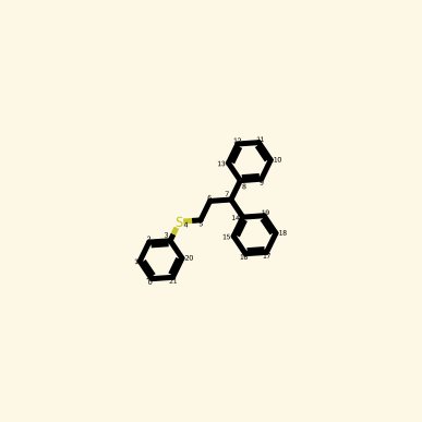 [c]1ccc(SCCC(c2ccccc2)c2ccccc2)cc1